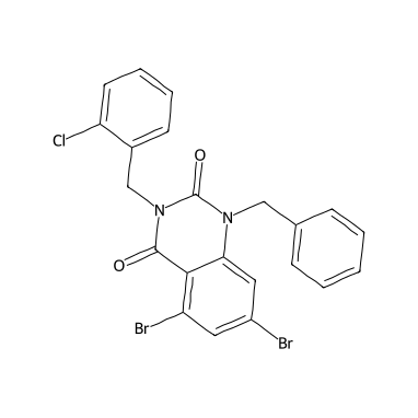 O=c1c2c(Br)cc(Br)cc2n(Cc2ccccc2)c(=O)n1Cc1ccccc1Cl